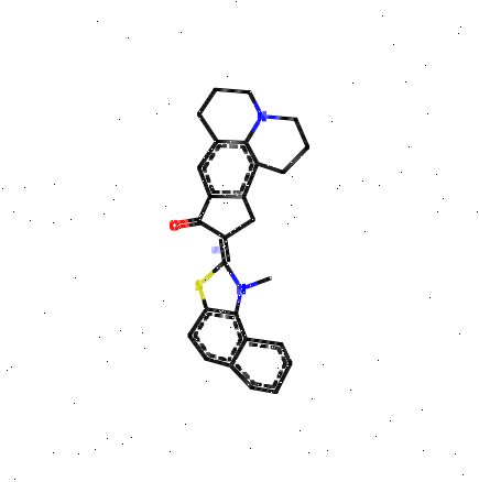 CN1/C(=C2\Cc3c(cc4c5c3CCCN5CCC4)C2=O)Sc2ccc3ccccc3c21